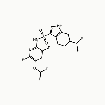 O=S(=O)(Nc1nc(F)c(OC(F)F)cc1F)c1c[nH]c2c1CCC(C(F)F)C2